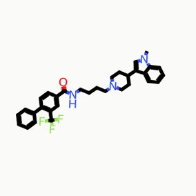 Cn1cc(C2CCN(CCCCNC(=O)c3ccc(-c4ccccc4)c(C(F)(F)F)c3)CC2)c2ccccc21